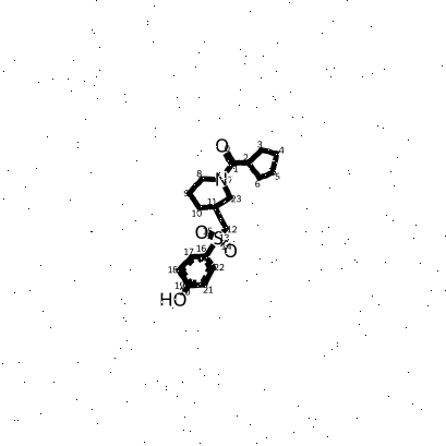 O=C(C1CCCC1)N1CCCC(CS(=O)(=O)c2ccc(O)cc2)C1